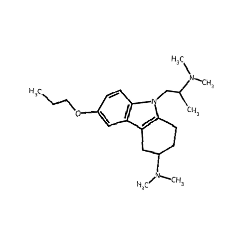 CCCOc1ccc2c(c1)c1c(n2CC(C)N(C)C)CCC(N(C)C)C1